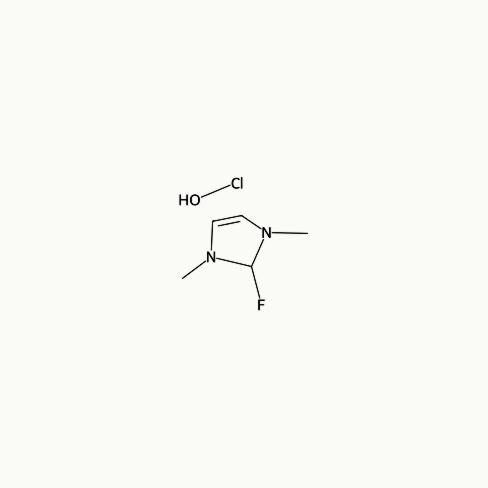 CN1C=CN(C)C1F.OCl